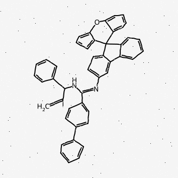 C=C(I)C(N/C(=N\c1ccc2c(c1)-c1ccccc1C21c2ccccc2Oc2ccccc21)c1ccc(-c2ccccc2)cc1)c1ccccc1